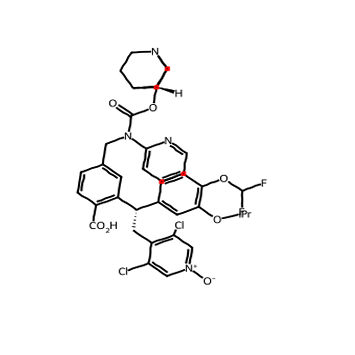 CC(C)Oc1cc([C@H](Cc2c(Cl)c[n+]([O-])cc2Cl)c2cc(CN(C(=O)O[C@H]3CN4CCC3CC4)c3ccccn3)ccc2C(=O)O)ccc1OC(F)F